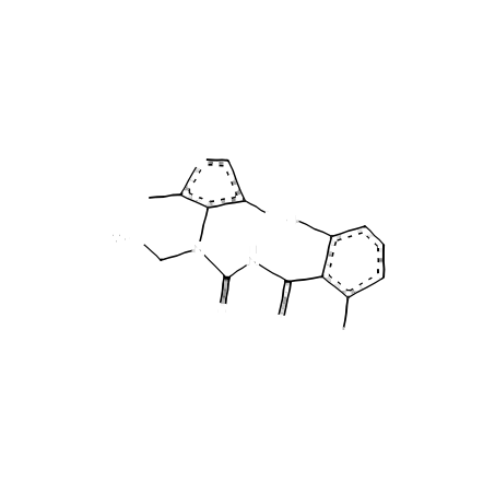 CCc1csc(F)c1N(COC)C(=O)NC(=O)c1c(F)cccc1Cl